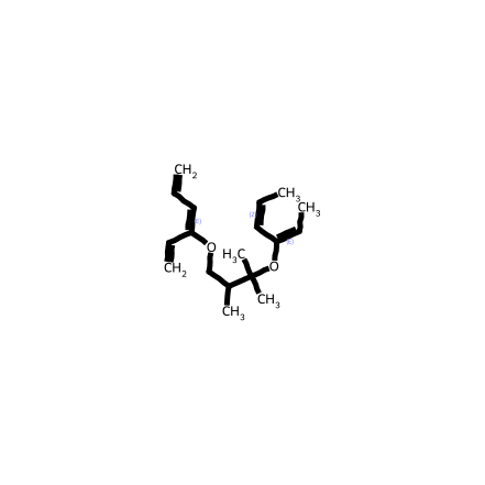 C=C/C=C(\C=C)OCC(C)C(C)(C)OC(/C=C\C)=C/C